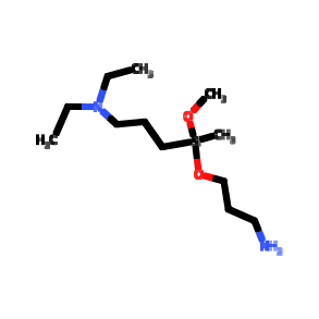 CCN(CC)CCC[Si](C)(OC)OCCCN